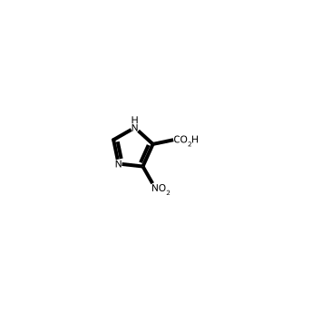 O=C(O)c1[nH]cnc1[N+](=O)[O-]